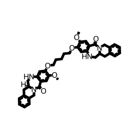 COc1cc2c(cc1OCCCCCOc1cc3c(cc1OC)C(=O)N1Cc4ccccc4C[C@H]1CN3)NCC1Cc3ccccc3CN1C2=O